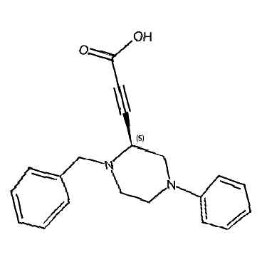 O=C(O)C#C[C@H]1CN(c2ccccc2)CCN1Cc1ccccc1